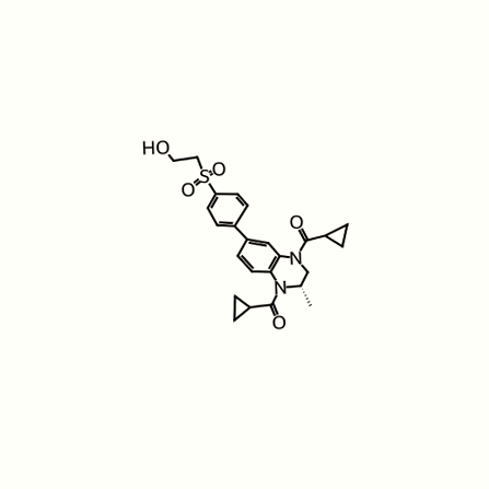 C[C@H]1CN(C(=O)C2CC2)c2cc(-c3ccc(S(=O)(=O)CCO)cc3)ccc2N1C(=O)C1CC1